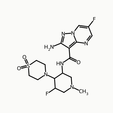 CN1CC(F)C(N2CCS(=O)(=O)CC2)C(NC(=O)c2c(N)nn3cc(F)cnc23)C1